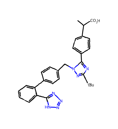 CC(C(=O)O)c1ccc(-c2nc(C(C)(C)C)nn2Cc2ccc(-c3ccccc3-c3nnn[nH]3)cc2)cc1